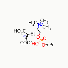 CC/C(=C\C(=O)[O-])C(=O)O.CCCOP(=O)(O)OCC[N+](C)(C)C